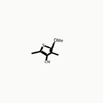 COc1sc(C)c(C#N)c1C